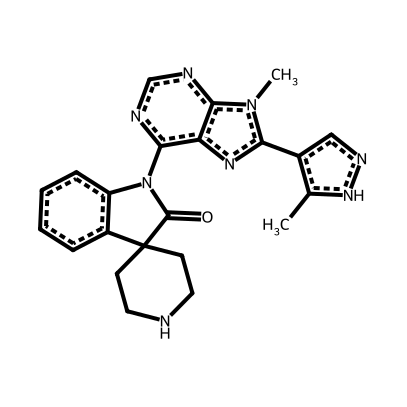 Cc1[nH]ncc1-c1nc2c(N3C(=O)C4(CCNCC4)c4ccccc43)ncnc2n1C